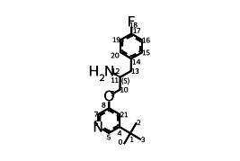 CC(C)(C)c1cncc(OC[C@@H](N)Cc2ccc(F)cc2)c1